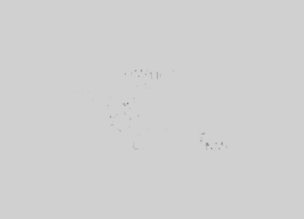 CCC(CCCCCCC(=O)NC)c1ccc(OCC(=O)O)c(OCCCOC)c1.Cl